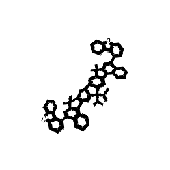 CC(C)C1(C(C)C)c2cc3c(cc2-c2cc4c(cc21)-c1c(cc(-c2cccc5oc6ccccc6c25)c2ccccc12)C4(C)C)C(C)(C)c1cc(-c2cccc4oc5ccccc5c24)c2ccccc2c1-3